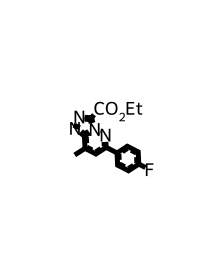 CCOC(=O)c1nnc2c(C)cc(-c3ccc(F)cc3)nn12